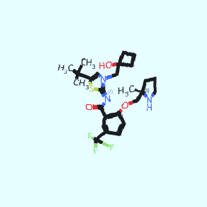 CC(C)(C)c1cn(CC2(O)CCC2)/c(=N/C(=O)c2cc(C(F)(F)F)ccc2OC[C@]2(C)CCCN2)s1